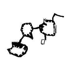 CCc1ncc(Cl)c(-c2cccc(-c3ccccc3)c2)n1